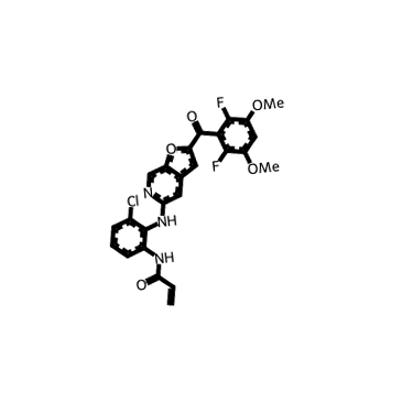 C=CC(=O)Nc1cccc(Cl)c1Nc1cc2cc(C(=O)c3c(F)c(OC)cc(OC)c3F)oc2cn1